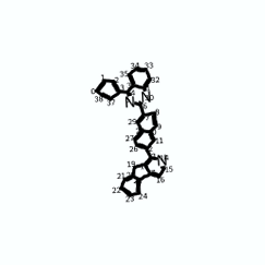 c1ccc(-c2nc(-c3ccc4cc(-c5nccc6c5Cc5ccccc5-6)ccc4c3)nc3ccccc23)cc1